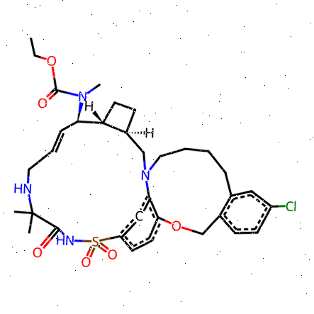 CCOC(=O)N(C)[C@@H]1/C=C/CNC(C)(C)C(=O)NS(=O)(=O)c2ccc3c(c2)N(CCCCc2cc(Cl)ccc2CO3)C[C@@H]2CC[C@H]21